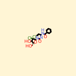 O=C(Nc1ccn([C@@H]2O[C@H](CO)[C@@H](O)C2(Cl)Cl)c(=O)n1)c1ccccc1